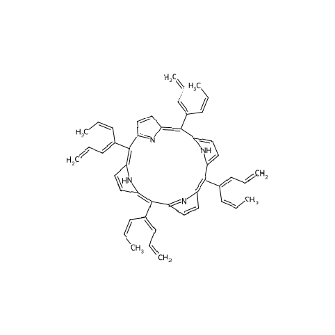 C=C/C=C(\C=C/C)c1c2nc(c(C(/C=C\C)=C/C=C)c3ccc([nH]3)c(C(/C=C\C)=C/C=C)c3nc(c(C(/C=C\C)=C/C=C)c4ccc1[nH]4)C=C3)C=C2